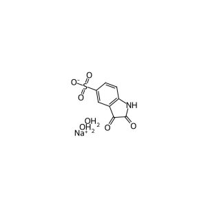 O.O.O=C1Nc2ccc(S(=O)(=O)[O-])cc2C1=O.[Na+]